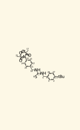 CC(C)(C)c1ccc(CNC(=S)NCc2ccc(N(S(C)(=O)=O)S(C)(=O)=O)cc2)cc1